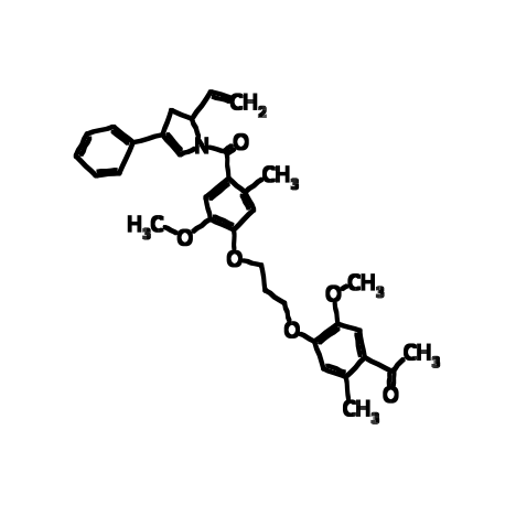 C=CC1CC(c2ccccc2)=CN1C(=O)c1cc(OC)c(OCCCOc2cc(C)c(C(C)=O)cc2OC)cc1C